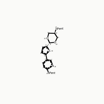 CCCCCc1ccc(-c2ccc([C@H]3OC[C@H](CCCCC)CO3)s2)cn1